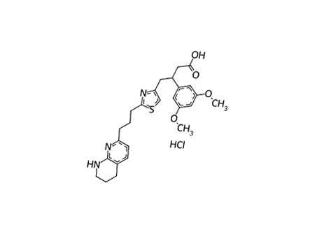 COc1cc(OC)cc(C(CC(=O)O)Cc2csc(CCCc3ccc4c(n3)NCCC4)n2)c1.Cl